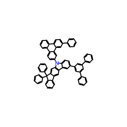 c1ccc(-c2cc(-c3ccccc3)cc(-c3ccc4c(c3)c3cc5c(cc3n4-c3ccc4c6ccccc6c6ccc(-c7ccccc7)cc6c4c3)C(c3ccccc3)(c3ccccc3)c3ccccc3-5)c2)cc1